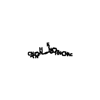 CC(=O)N1CCC(NCc2ccc3c(c2)cc(C#CCNc2ccc(C(C)(C)C#N)nc2)n3CCF)CC1